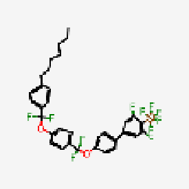 CCCCCCCc1ccc(C(F)(F)Oc2ccc(C(F)(F)Oc3ccc(-c4cc(F)c(S(F)(F)(F)(F)F)c(F)c4)cc3)cc2)cc1